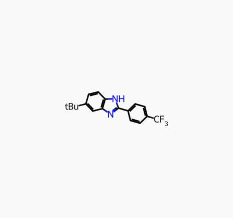 CC(C)(C)c1ccc2[nH]c(-c3ccc(C(F)(F)F)cc3)nc2c1